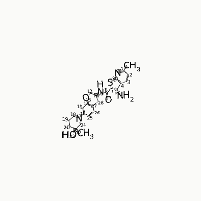 Cc1ccc2c(N)c(C(=O)N[C@H]3COc4cc(N5CCC[C@@](C)(O)C5)ccc4C3)sc2n1